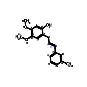 COc1cc(O)c(C/C=C/c2cccc(C)c2)cc1OC